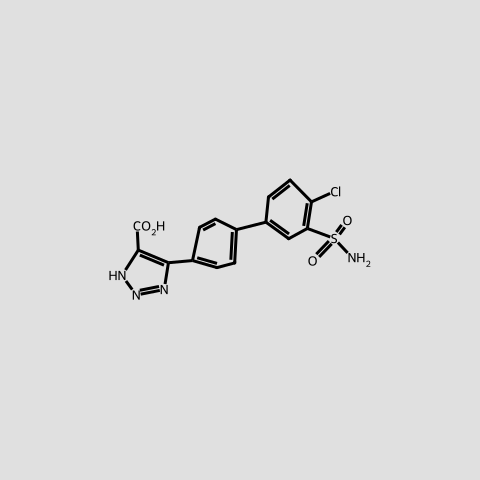 NS(=O)(=O)c1cc(-c2ccc(-c3nn[nH]c3C(=O)O)cc2)ccc1Cl